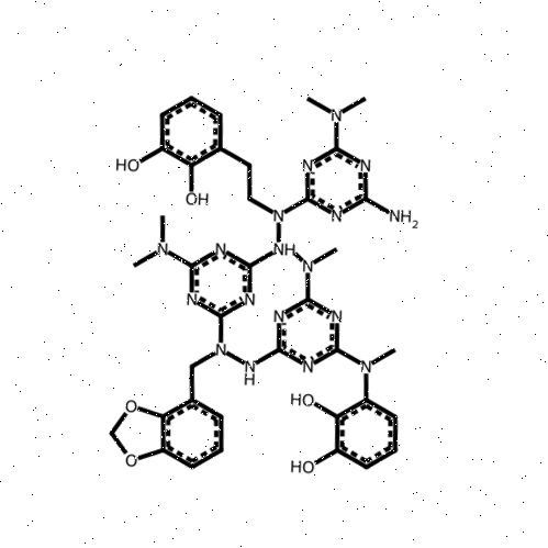 CN(C)c1nc(N)nc(N(CCc2cccc(O)c2O)Nc2nc(N(C)C)nc(N(Cc3cccc4c3OCO4)Nc3nc(N(C)C)nc(N(C)c4cccc(O)c4O)n3)n2)n1